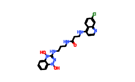 O=C(CCNc1ccnc2cc(Cl)ccc12)NCCCNC1=NN(O)c2ccccc2N1O